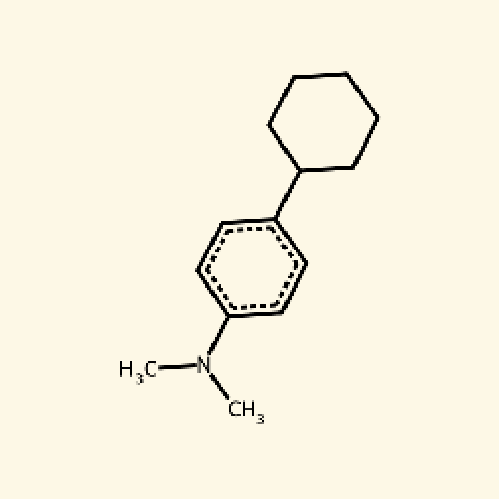 CN(C)c1ccc(C2CCCCC2)cc1